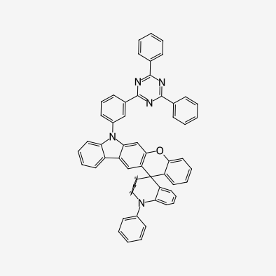 c1ccc(-c2nc(-c3ccccc3)nc(-c3cccc(-n4c5ccccc5c5cc6c(cc54)Oc4ccccc4C64c5ccccc5N(c5ccccc5)c5ccccc54)c3)n2)cc1